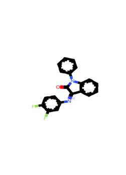 O=C1/C(=N\c2ccc(F)c(F)c2)c2ccccc2N1c1ccccc1